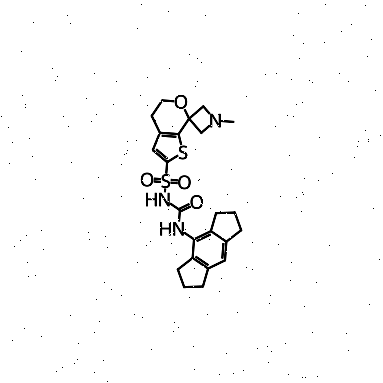 CN1CC2(C1)OCCc1cc(S(=O)(=O)NC(=O)Nc3c4c(cc5c3CCC5)CCC4)sc12